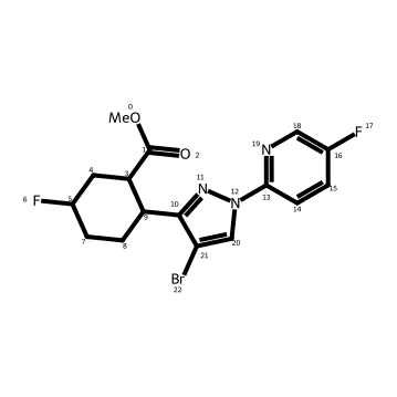 COC(=O)C1CC(F)CCC1c1nn(-c2ccc(F)cn2)cc1Br